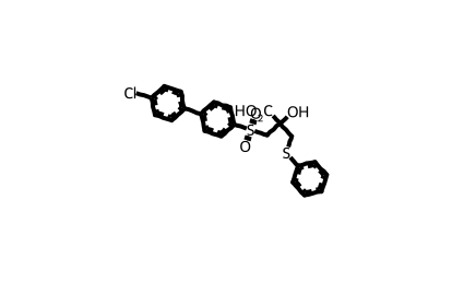 O=C(O)C(O)(CSc1ccccc1)CS(=O)(=O)c1ccc(-c2ccc(Cl)cc2)cc1